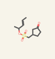 CC=CC(C)OS(=O)(=O)CC1CCC(=O)C1